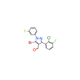 O=Cc1c(-c2cccc(F)c2Cl)nn(-c2cccc(F)c2)c1Br